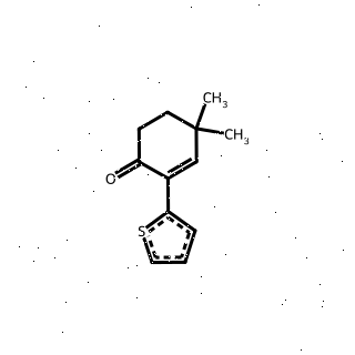 CC1(C)C=C(c2cccs2)C(=O)CC1